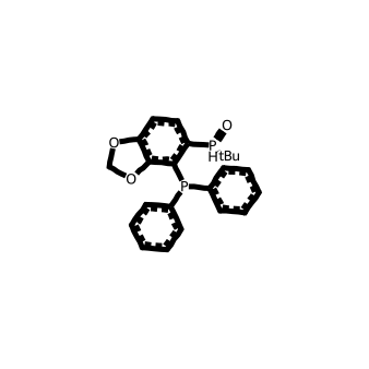 CC(C)(C)[PH](=O)c1ccc2c(c1P(c1ccccc1)c1ccccc1)OCO2